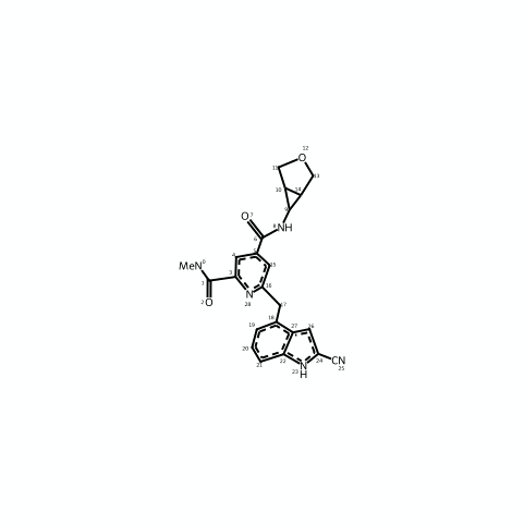 CNC(=O)c1cc(C(=O)NC2C3COCC32)cc(Cc2cccc3[nH]c(C#N)cc23)n1